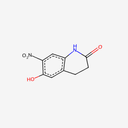 O=C1CCc2cc(O)c([N+](=O)[O-])cc2N1